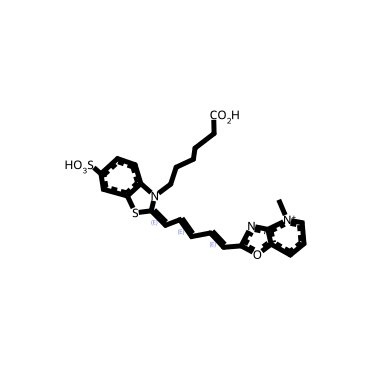 C[n+]1cccc2oc(/C=C/C=C/C=C3/Sc4cc(S(=O)(=O)O)ccc4N3CCCCCC(=O)O)nc21